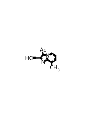 C#Cc1nc2c(C)cccn2c1C(C)=O